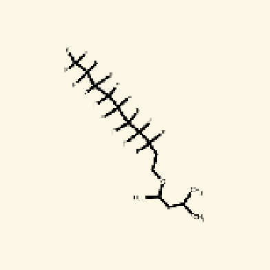 CC(C)CC(C)OCCC(F)(F)C(F)(F)C(F)(F)C(F)(F)C(F)(F)C(F)(F)C(F)(F)C(F)(F)F